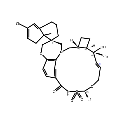 CC[C@@H]1CC/C=C/[C@](O)(C(F)(F)F)[C@@H]2CC[C@H]2CN2C[C@@]3(CCCC4=CC(Cl)=CCC43C)COc3ccc(cc32)C(=O)NS1(=O)=O